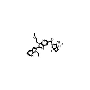 CCn1c(-c2nc3cc(C(=O)N4C[C@H]5CC[C@H]5[C@H]4N)cnc3n2CCOC)cc2cccnc21